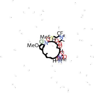 COc1cc2cc(c1Cl)N(C)C(=O)C[C@H](OC(=O)[C@H](C)N(C)[C@@H](CCSSC)C(F)(F)F)[C@@]1(C)CC(C)(O1)[C@@H]1C[C@@](O)(NC(=O)O1)[C@H](OC)/C=C/C=C(\C)C2